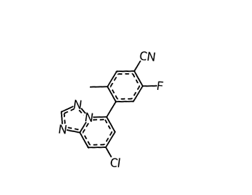 Cc1cc(C#N)c(F)cc1-c1cc(Cl)cc2ncnn12